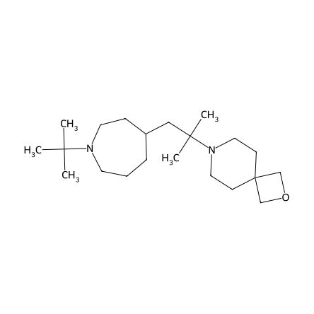 CC(C)(C)N1CCCC(CC(C)(C)N2CCC3(CC2)COC3)CC1